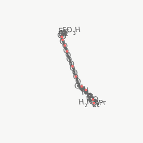 CCCN(OCC)C(=O)C1=Cc2ccc(-c3cnc(N4CCN(C(=O)CCOCCOCCOCCOCCOCCOCCOCCOCCOCCOCCC(=O)Oc5c(F)c(F)c(S(=O)(=O)O)c(F)c5F)CC4)nc3)cc2N=C(N)C1